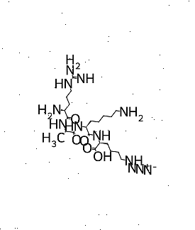 C[C@H](NC(=O)[C@@H](N)CCCNC(=N)N)C(=O)N[C@@H](CCCCCN)C(=O)N[C@@H](CCCCNN=[N+]=[N-])C(=O)O